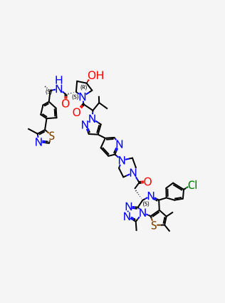 Cc1ncsc1-c1ccc([C@H](C)NC(=O)[C@@H]2C[C@@H](O)CN2C(=O)C(C(C)C)n2cc(-c3ccc(N4CCN(C(=O)C[C@@H]5N=C(c6ccc(Cl)cc6)c6c(sc(C)c6C)-n6c(C)nnc65)CC4)nc3)cn2)cc1